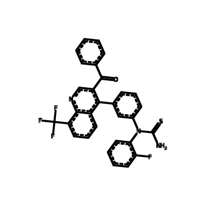 NC(=S)N(c1cccc(-c2c(C(=O)c3ccccc3)cnc3c(C(F)(F)F)cccc23)c1)c1ccccc1F